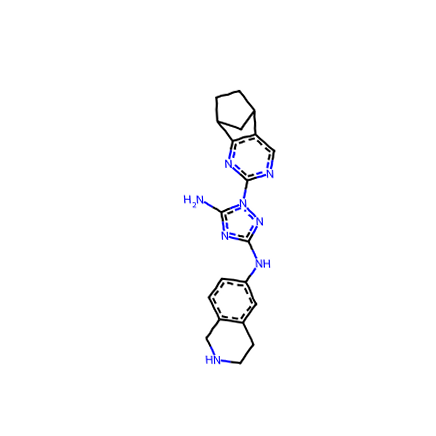 Nc1nc(Nc2ccc3c(c2)CCNC3)nn1-c1ncc2c(n1)C1CCC2C1